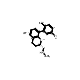 CNC[C@@H]1CCc2cccc(-c3cc(Cl)ccc3Cl)c2O1.Cl